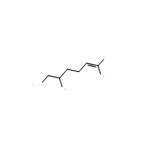 CC(C)=CCCC(O)CC(=O)O